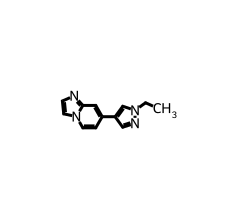 CCn1cc(-c2ccn3ccnc3c2)cn1